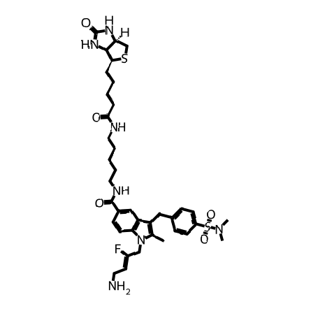 Cc1c(Cc2ccc(S(=O)(=O)N(C)C)cc2)c2cc(C(=O)NCCCCCNC(=O)CCCC[C@@H]3SC[C@@H]4NC(=O)NC43)ccc2n1C/C(F)=C/CN